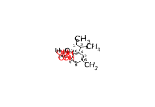 CCC(C)c1cc(C)ccc1C.OO.OO